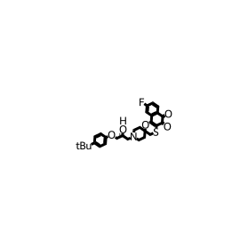 CC(C)(C)c1ccc(OC[C@@H](O)CN2CCC3(CC2)CSC2=C(O3)c3cc(F)ccc3C(=O)C2=O)cc1